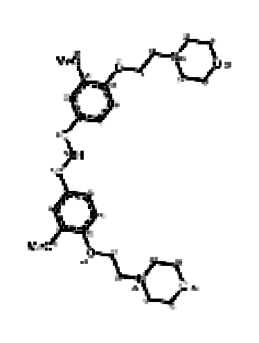 COc1cc(OBOc2ccc(OCCN3CCOCC3)c(OC)c2)ccc1OCCN1CCOCC1